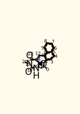 COc1ccc2ccccc2c1/C=C1\C(=O)NC(=O)N(C)C1=O